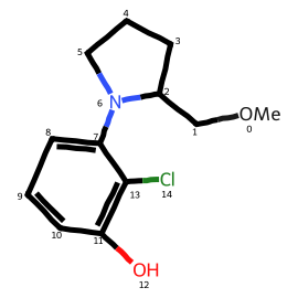 COCC1CCCN1c1cccc(O)c1Cl